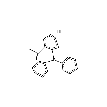 CC(I)c1ccccc1P(c1ccccc1)c1ccccc1.I